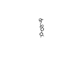 Cc1ccc(-c2ccc3oc(CCN4CCC[C@H]4C)cc3c2)cc1C